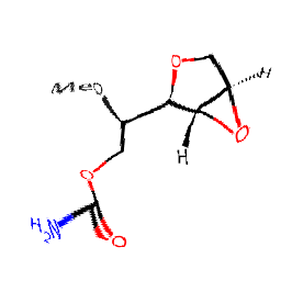 CO[C@H](COC(N)=O)[C@H]1OC[C@H]2O[C@H]12